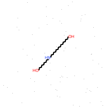 OCCCCCCCCCCCCCCCCNCCCCCCCCCO